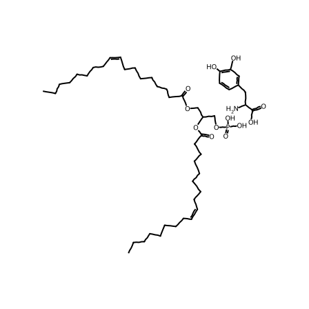 CCCCCCCC/C=C\CCCCCCCC(=O)OCC(COP(=O)(O)O)OC(=O)CCCCCCC/C=C\CCCCCCCC.NC(Cc1ccc(O)c(O)c1)C(=O)O